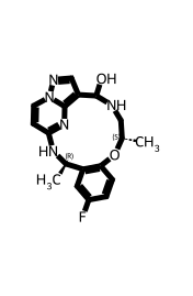 C[C@H]1CNC(O)c2cnn3ccc(nc23)N[C@H](C)c2cc(F)ccc2O1